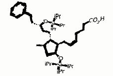 CC(C)[Si](O[C@@H](CCc1ccccc1)CC[C@@H]1[C@@H](C/C=C\CCCC(=O)O)[C@@H](O[Si](C(C)C)(C(C)C)C(C)C)C[C@H]1C)(C(C)C)C(C)C